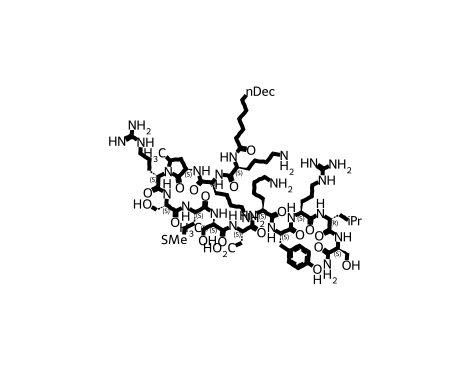 CCCCCCCCCCCCCCCC(=O)N[C@@H](CCCCN)C(=O)N[C@@H](CCCCN)C(=O)N[C@H]1CC(C)N([C@@H](CCCNC(=N)N)C(=O)N[C@@H](CO)C(=O)N[C@@H](CCSC)C(=O)N[C@H](C(=O)N[C@@H](CC(=O)O)C(=O)N[C@@H](CCCCN)C(=O)N[C@@H](Cc2ccc(O)cc2)C(=O)N[C@@H](CCCNC(=N)N)C(=O)N[C@H](CC(C)C)C(=O)N[C@@H](CO)C(N)=O)[C@@H](C)O)C1=O